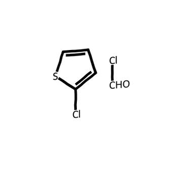 Clc1cccs1.O=CCl